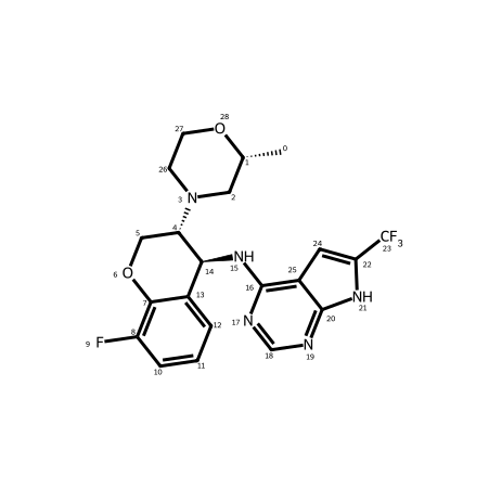 C[C@@H]1CN([C@H]2COc3c(F)cccc3[C@@H]2Nc2ncnc3[nH]c(C(F)(F)F)cc23)CCO1